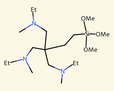 CCN(C)CC(CC[Si](OC)(OC)OC)(CN(C)CC)CN(C)CC